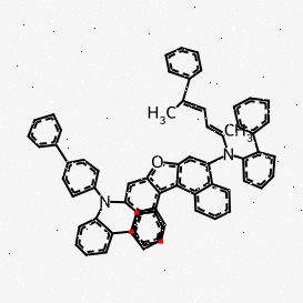 C/C(=C\C=C(/C)N(c1ccccc1-c1ccccc1)c1cc2oc3cc(N(c4ccc(-c5ccccc5)cc4)c4ccccc4-c4ccccc4)c4ccccc4c3c2c2ccccc12)c1ccccc1